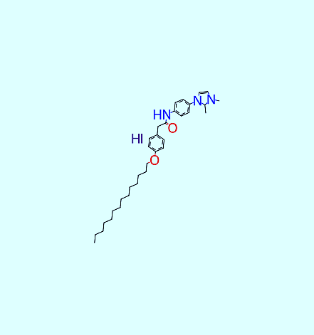 CCCCCCCCCCCCCCOc1ccc(CC(=O)Nc2ccc(N3C=CN(C)C3C)cc2)cc1.I